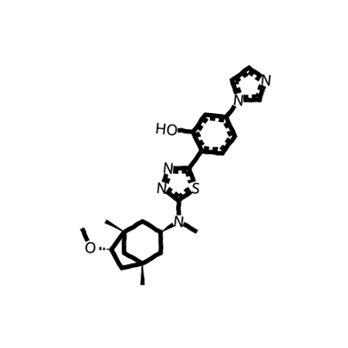 CO[C@H]1C[C@@]2(C)C[C@H](N(C)c3nnc(-c4ccc(-n5ccnc5)cc4O)s3)C[C@]1(C)C2